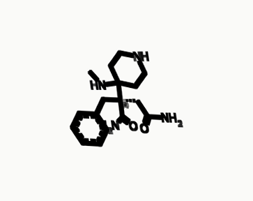 CNC1([C@](CC(N)=O)(Cc2ccccc2)C(N)=O)CCNCC1